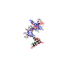 CNC(=O)[C@@H](Cc1c[nH]cn1)NC(=O)[C@H](NC(=O)[C@@H](C)NC(=O)[C@@H](C)NC(=O)[C@@H](C)NC(=O)[C@@H](CCCCNC(=O)c1ccc(-c2c3cc(F)c(=O)cc-3oc3cc(O)c(F)cc23)c(C(=O)O)c1)NC(=O)[C@@H](C)NC(=O)[C@@H](C)NC(=O)[C@@H](C)NC)[C@H](C)O